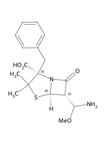 COC(N)[C@H]1C(=O)N2[C@@H]1SC(C)(C)[C@]2(Cc1ccccc1)C(=O)O